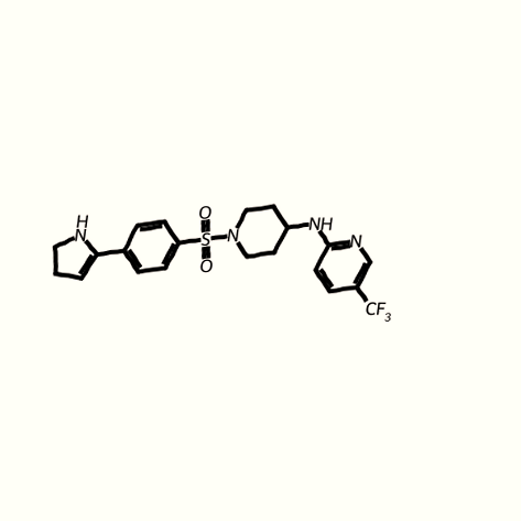 O=S(=O)(c1ccc(C2=CCCN2)cc1)N1CCC(Nc2ccc(C(F)(F)F)cn2)CC1